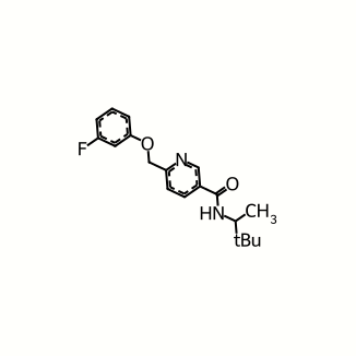 CC(NC(=O)c1ccc(COc2cccc(F)c2)nc1)C(C)(C)C